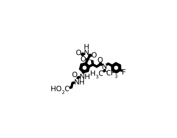 C[C@H](N(Cc1ccc(F)cc1)C(=O)CC1C[C@@]2(OC(=O)NC2=O)c2ccc(NC(=O)NCCC(=O)O)cc21)C(F)(F)F